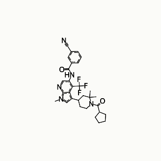 Cn1cc(C2CCN(C(=O)C3CCCC3)C(C)(C)C2)c2c(C(F)(F)F)c(NC(=O)c3cccc(C#N)c3)cnc21